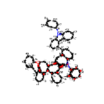 c1ccc(-c2ccccc2-c2c(-c3ccccc3)cccc2-c2ccccc2N(c2ccc(-c3cccc4c3oc3ccccc34)cc2)c2cccc(-c3cccc4c3c3ccccc3n4-c3ccccc3)c2)cc1